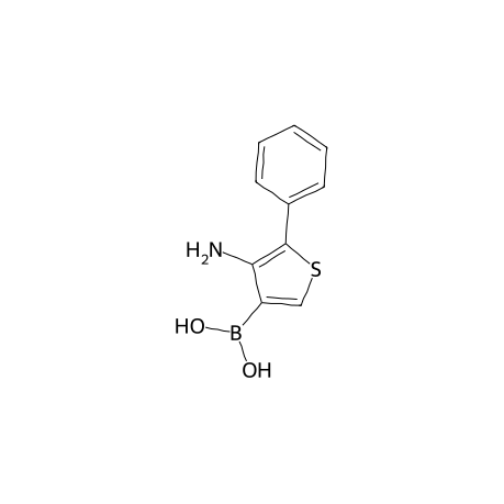 Nc1c(B(O)O)csc1-c1ccccc1